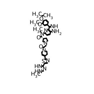 CCN(C(=O)[C@@H]1CCN(CC(=O)N2CC=C(c3ncc(C(=N)/N=C\NC)s3)CC2)C1)c1ccc(N)c(C(=N)c2ccc(OC(C)C)c(OC)c2)n1